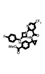 COC(=O)c1ccc(C2(NC(=O)c3cc(C(F)(F)F)cnc3N3CC(Nc4ccc(F)cc4)C3)CC2)cc1